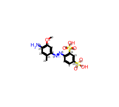 COc1cc(/N=N/c2ccc(S(=O)(=O)O)cc2S(=O)(=O)O)c(C)cc1N